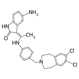 CC(Nc1ccc(CN2CCc3cc(Cl)c(Cl)cc3CC2)cc1)=C1C(=O)Nc2ccc(N)cc21